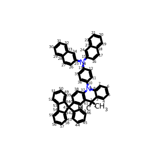 CC1(C)c2ccccc2N(c2ccc(N(c3ccc4ccccc4c3)c3ccc4ccccc4c3)cc2)c2ccc(C3(c4ccccc4)c4ccccc4-c4ccccc43)cc21